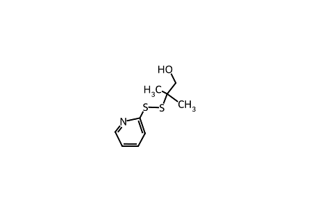 CC(C)(CO)SSc1ccccn1